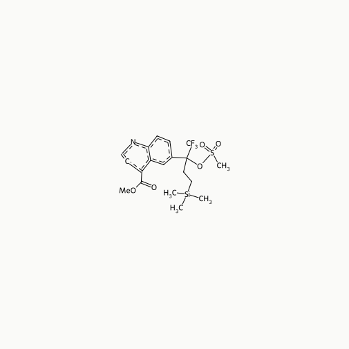 COC(=O)c1ccnc2ccc(C(CC[Si](C)(C)C)(OS(C)(=O)=O)C(F)(F)F)cc12